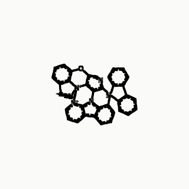 c1ccc2c(c1)-c1ccccc1[Si]21c2ncc3c4c2-n2c5c1cccc5c1ccc[n+](c12)[N+]41c2c(cccc2-c2cccc[n+]21)O3